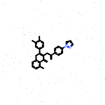 C=C(CC1=C(c2ccc(C)c(C)c2)Cc2cccc(C)c2C1=C)c1ccc(-n2cccn2)cc1